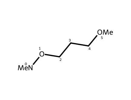 CNOCCCOC